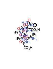 CC(C)C[C@H](N)[C@@H](O)CC(=O)N[C@@H](CCC(=O)O)C(=O)N[C@H](C(=O)N[C@@H](CC(N)=O)C(=O)N[C@H](C(=O)N[C@@H](C)C(=O)N[C@@H](CCC(=O)O)C(=O)N[C@@H](Cc1ccccc1)C(N)=O)C(C)C)C(C)C